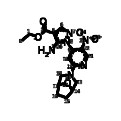 CCOC(=O)c1cnn(-c2cc(N3CC4CCC(C3)O4)ncc2[N+](=O)[O-])c1N